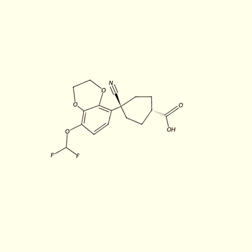 N#C[C@]1(c2ccc(OC(F)F)c3c2OCCO3)CC[C@@H](C(=O)O)CC1